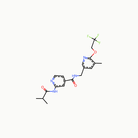 Cc1cc(CNC(=O)c2ccnc(NC(=O)C(C)C)c2)cnc1OCC(F)(F)F